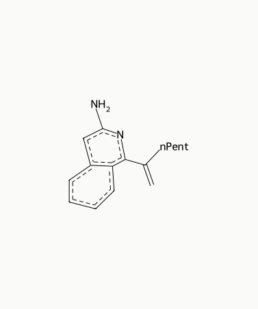 C=C(CCCCC)c1nc(N)cc2ccccc12